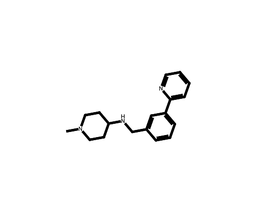 CN1CCC(NCc2cccc(-c3ccccn3)c2)CC1